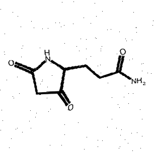 NC(=O)CCC1NC(=O)CC1=O